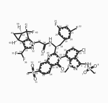 Cn1nc(NS(C)(=O)=O)c2c(Cl)ccc(-n3c([C@H](Cc4cc(F)cc(F)c4)NC(=O)Cn4nc(C(F)F)c5c4C(F)(F)[C@@H]4C[C@H]54)nc4cc(S(C)(=O)=O)ccc4c3=O)c21